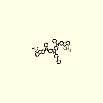 C=C1c2ccccc2-c2ccc(N(c3ccccc3)c3ccc4c(c3)c3cc(N(c5ccccc5)c5ccc6c(c5)C(=C)c5ccccc5-6)ccc3n4-c3ccc(-c4ccccc4)cc3)cc21